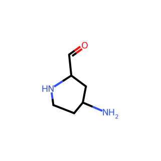 NC1CCNC(C=O)C1